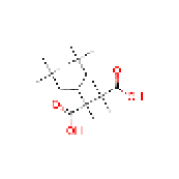 CC(C)(C)CC(CC(C)(C)C)C(C)(C(=O)O)C(C)(C)C(=O)O